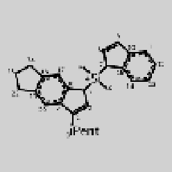 CCCC(C)C1=CC([Si](C)(C)C2C=Cc3ccccc32)c2cc3c(cc21)CCC3